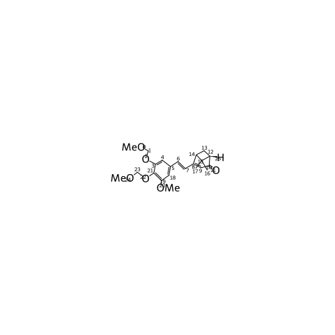 COCOc1cc(C=CC2=CC(=O)[C@H]3CC2C3(C)C)cc(OC)c1OCOC